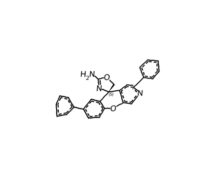 NC1=N[C@@]2(CO1)c1cc(-c3ccccc3)ccc1Oc1cnc(-c3ccccc3)cc12